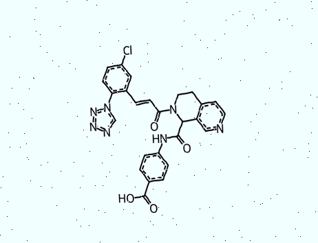 O=C(O)c1ccc(NC(=O)C2c3cnccc3CCN2C(=O)C=Cc2cc(Cl)ccc2-n2cnnn2)cc1